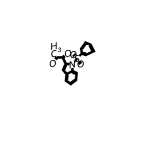 CC(=O)C(=O)c1cc2ccccc2n1S(=O)(=O)c1ccccc1